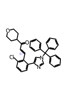 O=C(/C=C/c1c(Cl)cccc1-c1cn(C(c2ccccc2)(c2ccccc2)c2ccccc2)cn1)C1CCOCC1